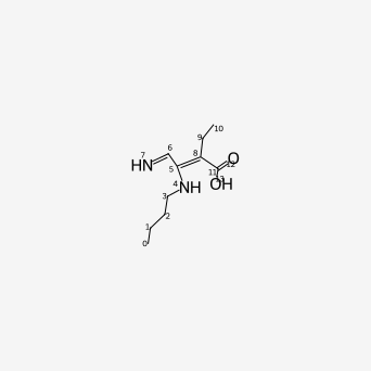 CCCCN/C(C=N)=C(/CC)C(=O)O